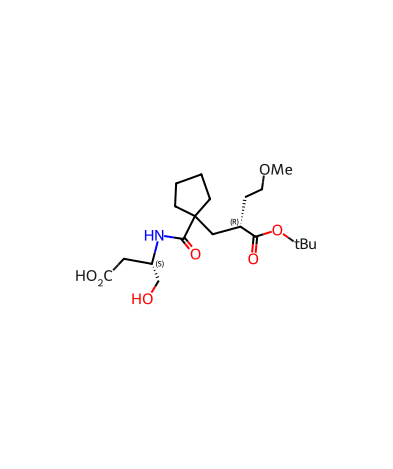 COCC[C@@H](CC1(C(=O)N[C@H](CO)CC(=O)O)CCCC1)C(=O)OC(C)(C)C